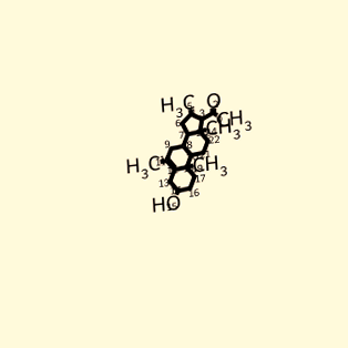 CC(=O)C1C(C)CC2C3CC(C)=C4CC(O)CCC4(C)C3CCC21C